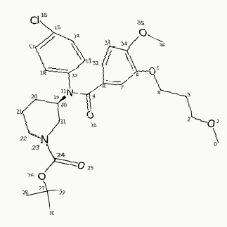 COCCCOc1cc(C(=O)N(c2ccc(Cl)cc2)[C@@H]2CCCN(C(=O)OC(C)(C)C)C2)ccc1OC